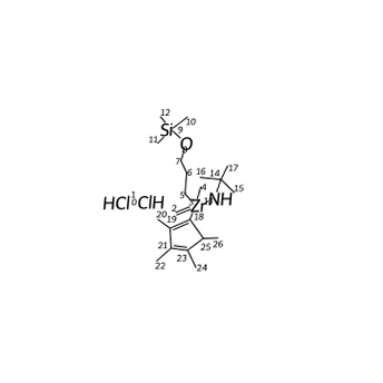 Cl.Cl.[CH2]=[Zr]([CH3])([CH2]CCO[Si](C)(C)C)([NH]C(C)(C)C)[C]1=C(C)C(C)=C(C)C1C